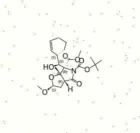 COC(=O)[C@]1([C@@H](O)[C@@H]2C=CCCC2)N(C(=O)OC(C)(C)C)C(=O)[C@@H]2C[C@@H](OC)O[C@@]21C